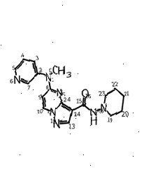 CN(c1cccnc1)c1ccn2ncc(C(=O)NN3CCCCC3)c2n1